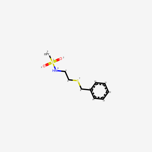 CCCS(=O)(=O)NCCSCc1ccccc1